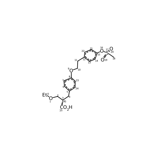 CCOC[C@@H](Cc1ccc(OCCc2ccc(OS(C)(=O)=O)cc2)cc1)C(=O)O